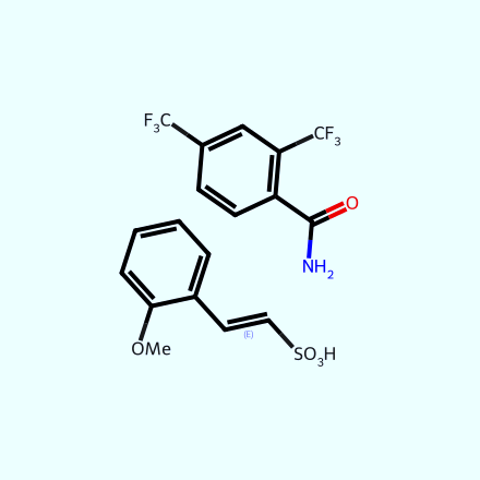 COc1ccccc1/C=C/S(=O)(=O)O.NC(=O)c1ccc(C(F)(F)F)cc1C(F)(F)F